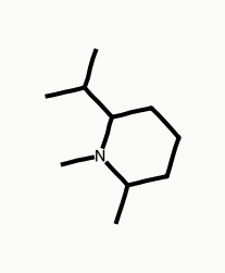 CC(C)C1CCCC(C)N1C